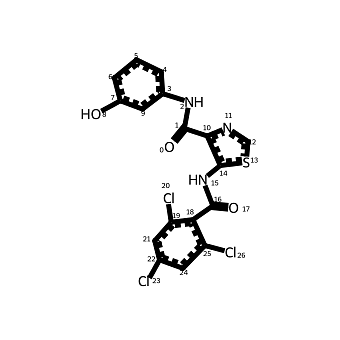 O=C(Nc1cccc(O)c1)c1ncsc1NC(=O)c1c(Cl)cc(Cl)cc1Cl